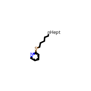 CCCCCCCCCCCCSc1ccccn1